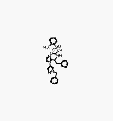 Cc1ccccc1S(=O)(=O)NC(=O)NC(Cc1ccccc1)c1nccn1-c1cnn(Cc2ccccc2)c1